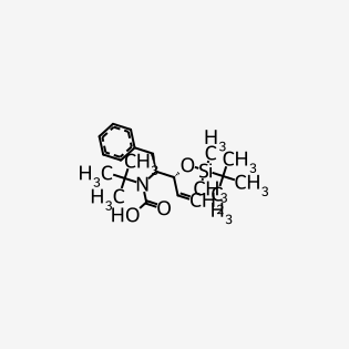 C=C[C@@H](O[Si](C)(C)C(C)(C)C)[C@H](Cc1ccccc1)N(C(=O)O)C(C)(C)C